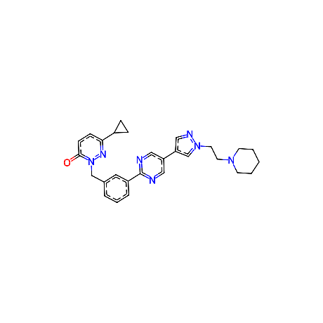 O=c1ccc(C2CC2)nn1Cc1cccc(-c2ncc(-c3cnn(CCN4CCCCC4)c3)cn2)c1